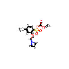 Cc1ccc(S(=O)(=O)OC(=O)OC(C)(C)C)c(OCN2CCC2)c1